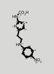 O=C(O)Nc1nc(CCNc2ccc([N+](=O)[O-])cc2)cs1